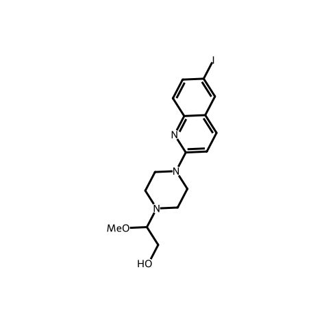 COC(CO)N1CCN(c2ccc3cc(I)ccc3n2)CC1